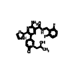 CC(O)Cn1cc(-c2nc(C(=O)NCc3c(F)cccc3F)c(N)nc2C2NC=CO2)ccc1=O